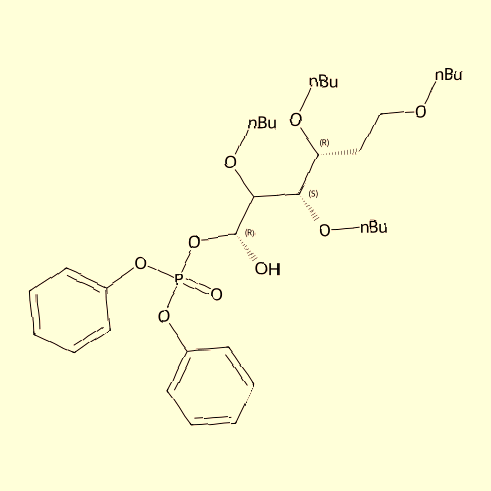 CCCCOCC[C@@H](OCCCC)[C@H](OCCCC)C(OCCCC)[C@H](O)OP(=O)(Oc1ccccc1)Oc1ccccc1